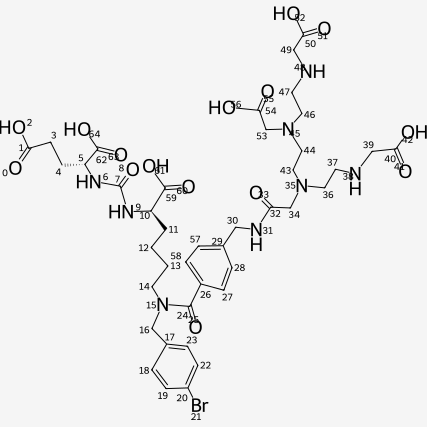 O=C(O)CC[C@@H](NC(=O)N[C@H](CCCCN(Cc1ccc(Br)cc1)C(=O)c1ccc(CNC(=O)CN(CCNCC(=O)O)CCN(CCNCC(=O)O)CC(=O)O)cc1)C(=O)O)C(=O)O